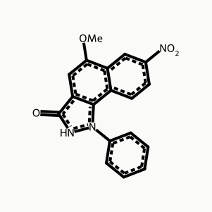 COc1cc2c(=O)[nH]n(-c3ccccc3)c2c2ccc([N+](=O)[O-])cc12